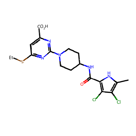 CCSc1cc(C(=O)O)nc(N2CCC(NC(=O)c3[nH]c(C)c(Cl)c3Cl)CC2)n1